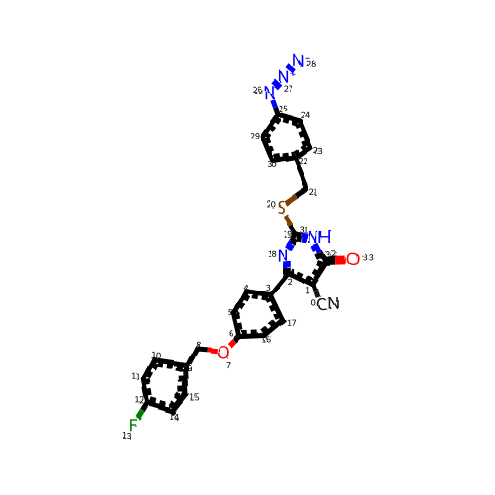 N#Cc1c(-c2ccc(OCc3ccc(F)cc3)cc2)nc(SCc2ccc(N=[N+]=[N-])cc2)[nH]c1=O